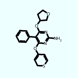 Nc1nc(OC2=CCSC=C2)c(-c2ccccc2)c(OC2CCOC2)n1